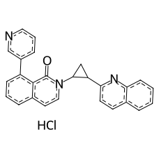 Cl.O=c1c2c(-c3cccnc3)cccc2ccn1C1CC1c1ccc2ccccc2n1